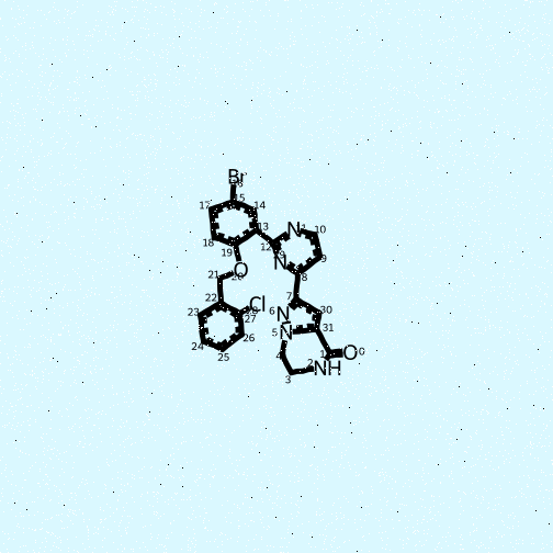 O=C1NCCn2nc(-c3ccnc(-c4cc(Br)ccc4OCc4ccccc4Cl)n3)cc21